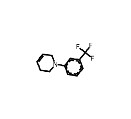 FC(F)(F)c1cccc(N2CC=CCC2)c1